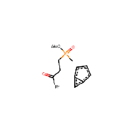 COP(C)(=O)CCC(=O)C(C)C.c1cc2cc-2c1